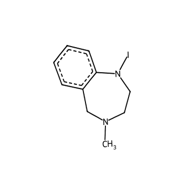 CN1CCN(I)c2ccccc2C1